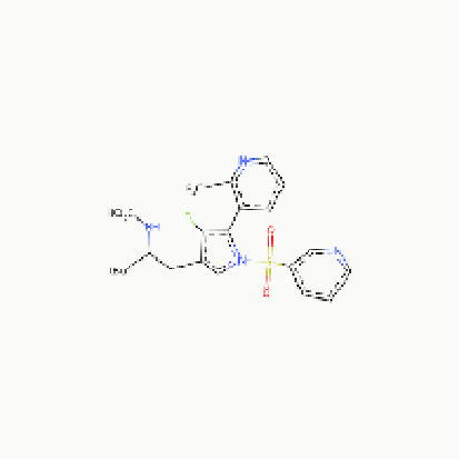 CC(C)(C)C(Cc1cn(S(=O)(=O)c2cccnc2)c(-c2cccnc2C(F)(F)F)c1F)NC(=O)O